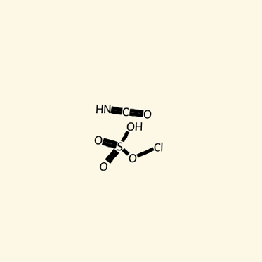 N=C=O.O=S(=O)(O)OCl